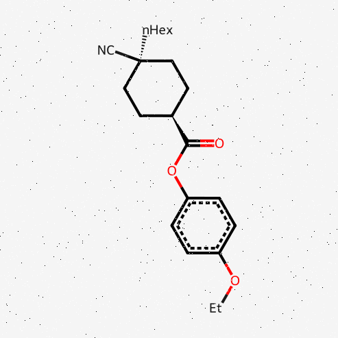 CCCCCC[C@]1(C#N)CC[C@@H](C(=O)Oc2ccc(OCC)cc2)CC1